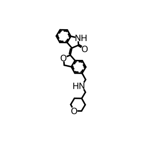 O=C1Nc2ccccc2C1=C1OCc2cc(CNCC3CCOCC3)ccc21